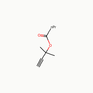 C#CC(C)(C)OC(=O)CC[CH2]